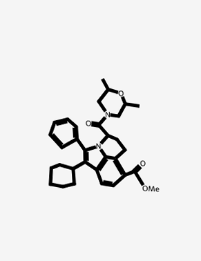 COC(=O)c1ccc2c(C3CCCCC3)c(-c3ccccc3)n3c2c1CCC3C(=O)N1CC(C)OC(C)C1